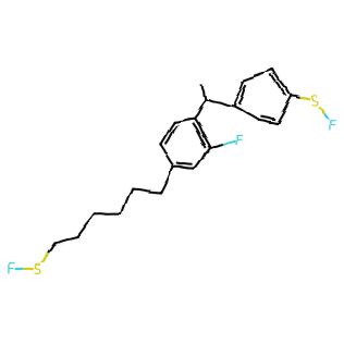 CC(c1ccc(SF)cc1)c1ccc(CCCCCCSF)cc1F